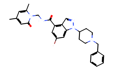 Cc1cc(C)n(CNC(=O)c2cc(Br)cc3c2cnn3C2CCN(Cc3ccccc3)CC2)c(=O)c1